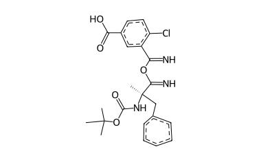 CC(C)(C)OC(=O)N[C@](C)(Cc1ccccc1)C(=N)OC(=N)c1cc(C(=O)O)ccc1Cl